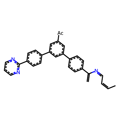 C=C(/N=C\C=C/C)c1ccc(-c2cc(C(C)=O)cc(-c3ccc(-c4ncccn4)cc3)c2)cc1